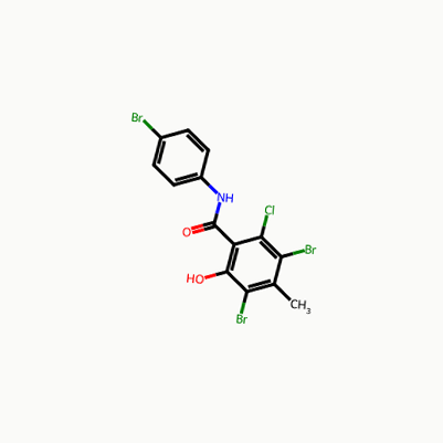 Cc1c(Br)c(O)c(C(=O)Nc2ccc(Br)cc2)c(Cl)c1Br